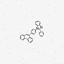 c1ccc(-c2nc3ccccc3n2-c2ccc(-c3cc4ccccc4c4ccccc34)cc2)cc1